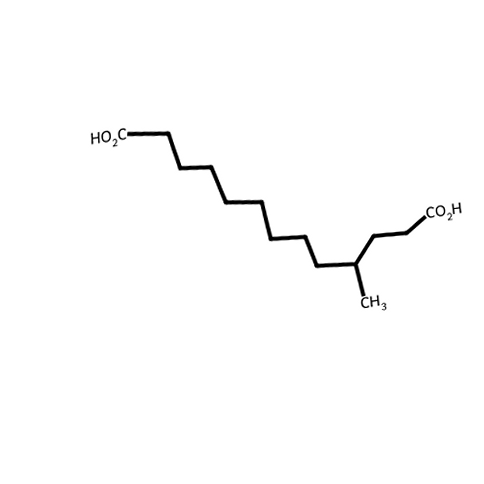 CC(CCCCCCCCC(=O)O)CCC(=O)O